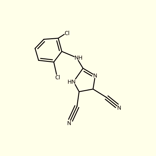 N#CC1N=C(Nc2c(Cl)cccc2Cl)NC1C#N